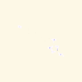 N#Cc1ccc(-c2c(F)cc(Nc3nc(N)n[nH]3)cc2F)cc1